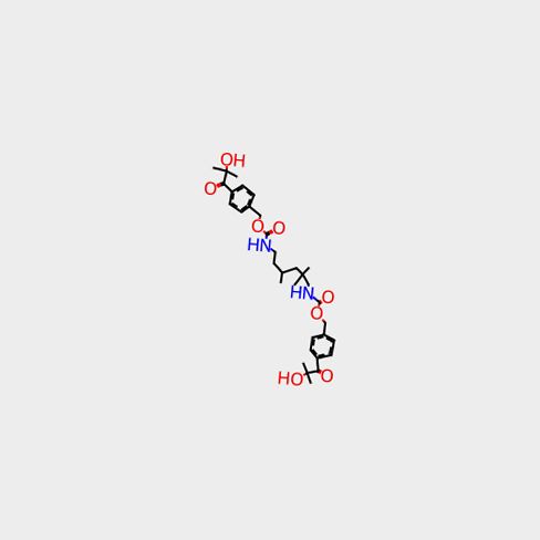 CC(CCNC(=O)OCc1ccc(C(=O)C(C)(C)O)cc1)CC(C)(C)CNC(=O)OCc1ccc(C(=O)C(C)(C)O)cc1